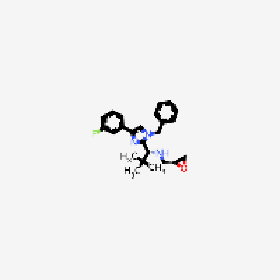 CC(C)(C)[C@@H](NC[C@H]1CO1)c1nc(-c2cccc(F)c2)cn1Cc1ccccc1